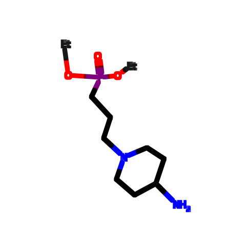 CCOP(=O)(CCCN1CCC(N)CC1)OCC